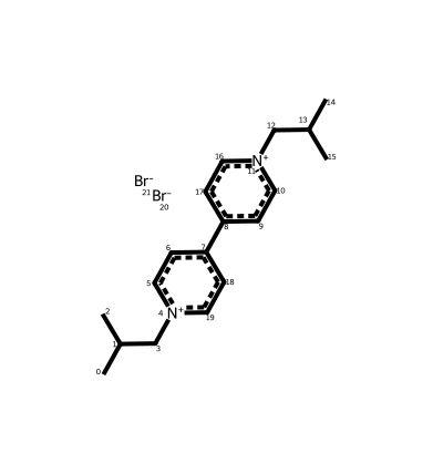 CC(C)C[n+]1ccc(-c2cc[n+](CC(C)C)cc2)cc1.[Br-].[Br-]